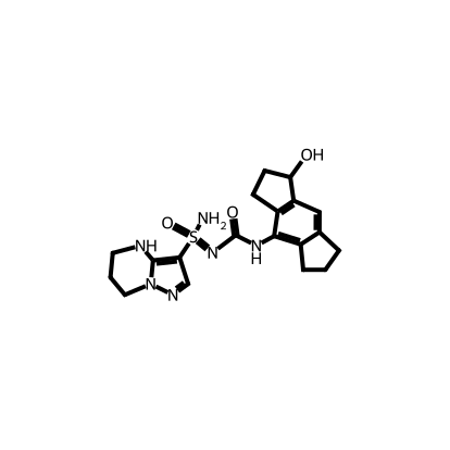 NS(=O)(=NC(=O)Nc1c2c(cc3c1CCC3O)CCC2)c1cnn2c1NCCC2